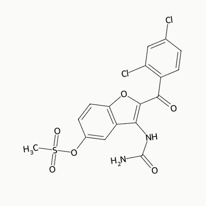 CS(=O)(=O)Oc1ccc2oc(C(=O)c3ccc(Cl)cc3Cl)c(NC(N)=O)c2c1